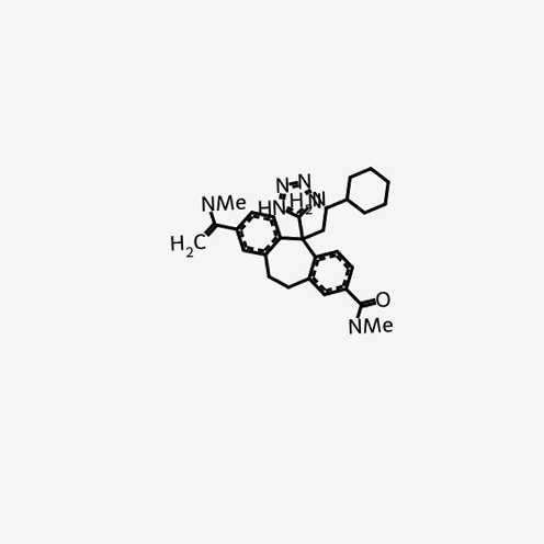 C=C(NC)c1ccc2c(c1)CCc1cc(C(=O)NC)ccc1C2(C[C@H](N)C1CCCCC1)c1nnn[nH]1